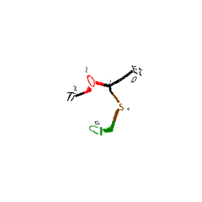 CCC([O][Ti])SCl